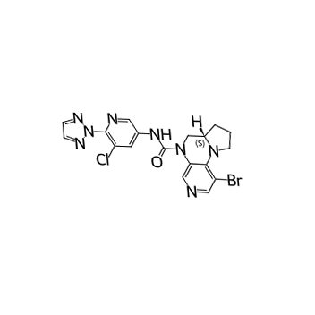 O=C(Nc1cnc(-n2nccn2)c(Cl)c1)N1C[C@@H]2CCCN2c2c(Br)cncc21